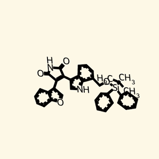 CC(C)(C)[Si](OCc1cccc2c(C3=C(c4coc5ccccc45)C(=O)NC3=O)c[nH]c12)(c1ccccc1)c1ccccc1